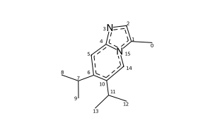 Cc1cnc2cc(C(C)C)c(C(C)C)cn12